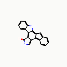 O=C1NC=c2c1c1c([nH]c3ccccc31)c1c2=c2ccccc2=C1